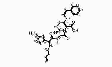 C=CCON=C(C(=O)NC1C(=O)N2C(C(=O)O)=C(S/C=C\c3cccnc3)CS[C@@H]12)c1nsc(N)n1